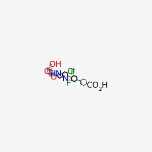 O=C(O)C1CC=C(c2cc(F)c(-c3nc4cc(O[C@@H]5CO[C@H](CO)C5)[nH]c4cc3Cl)c(F)c2)CC1